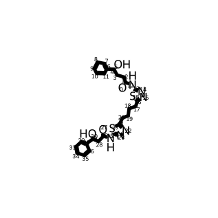 O=C(CC[C@@H](O)c1ccccc1)Nc1nnc(CCCCc2nnc(NC(=O)C[C@@H](O)c3ccccc3)s2)s1